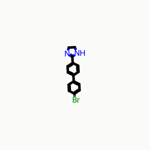 Brc1ccc(-c2ccc(C3=NCCN3)cc2)cc1